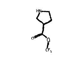 O=C(OC(F)(F)F)C1CCNC1